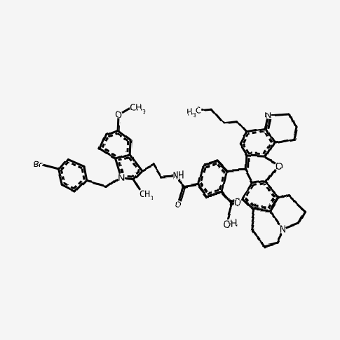 CCCCc1cc2c(c3c1=NCCC3)Oc1c(cc3c4c1CCCN4CCC3)C=2c1ccc(C(=O)NCCc2c(C)n(Cc3ccc(Br)cc3)c3ccc(OC)cc23)cc1C(=O)O